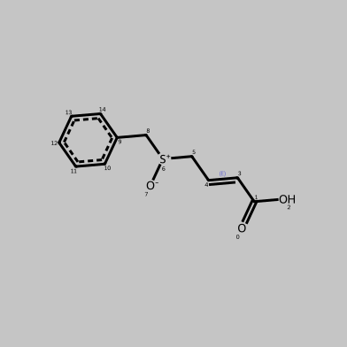 O=C(O)/C=C/C[S+]([O-])Cc1ccccc1